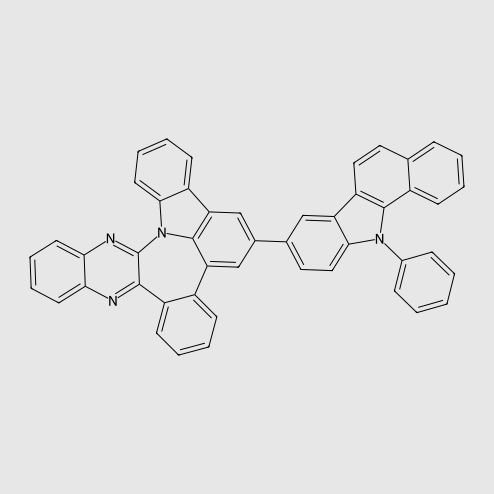 c1ccc(-n2c3ccc(-c4cc5c6c(c4)c4ccccc4n6-c4nc6ccccc6nc4-c4ccccc4-5)cc3c3ccc4ccccc4c32)cc1